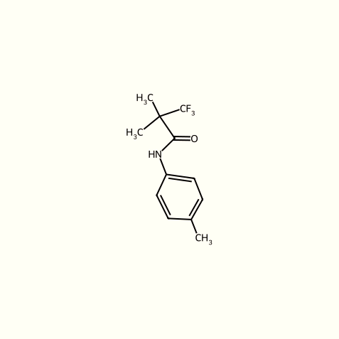 Cc1ccc(NC(=O)C(C)(C)C(F)(F)F)cc1